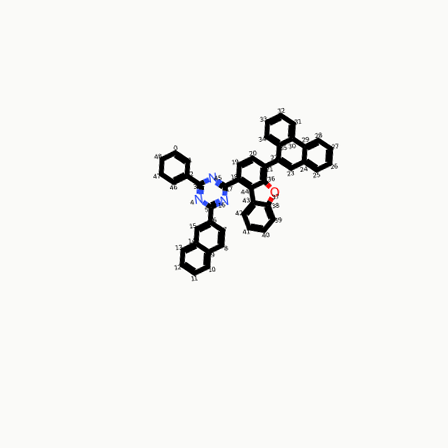 C1=CC(c2nc(-c3ccc4ccccc4c3)nc(-c3ccc(-c4cc5ccccc5c5ccccc45)c4oc5ccccc5c34)n2)=CCC1